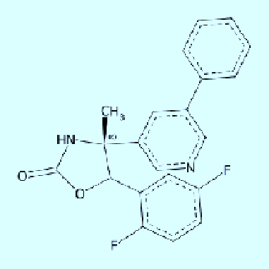 C[C@]1(c2cncc(-c3ccccc3)c2)NC(=O)OC1c1cc(F)ccc1F